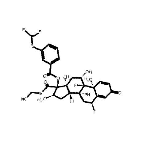 C[C@@H]1C[C@H]2[C@@H]3C[C@H](F)C4=CC(=O)C=C[C@]4(C)[C@@]3(F)[C@@H](O)C[C@]2(C)[C@@]1(OC(=O)c1cccc(SC(F)F)c1)C(=O)SCC#N